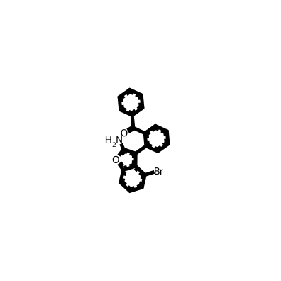 Nc1oc2cccc(Br)c2c1-c1ccccc1C(=O)c1ccccc1